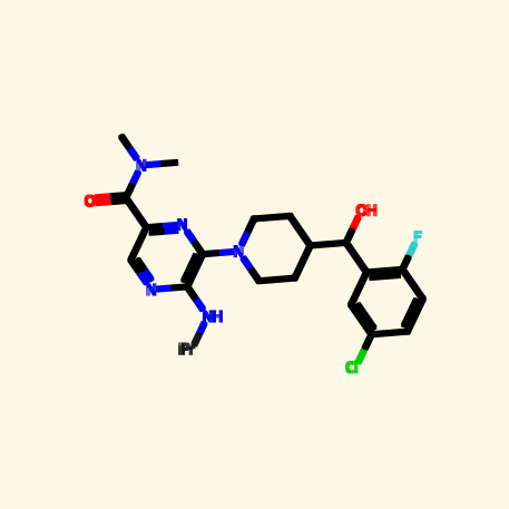 CC(C)Nc1ncc(C(=O)N(C)C)nc1N1CCC(C(O)c2cc(Cl)ccc2F)CC1